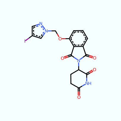 O=C1CCC(N2C(=O)c3cccc(OCn4cc(I)cn4)c3C2=O)C(=O)N1